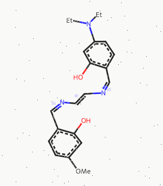 CCN(CC)c1ccc(\C=N/C=C/N=C\c2ccc(OC)cc2O)c(O)c1